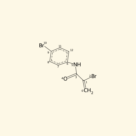 C=C(Br)C(=O)Nc1ccc(Br)cc1